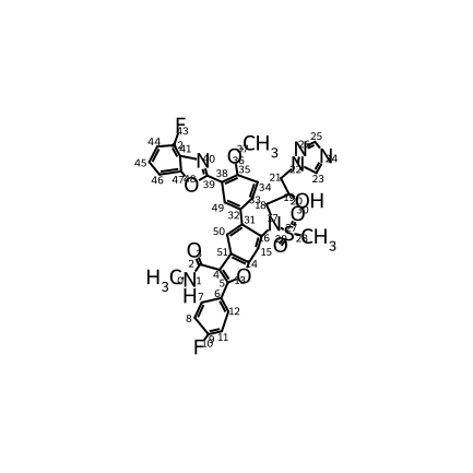 CNC(=O)c1c(-c2ccc(F)cc2)oc2cc(N(CC(O)Cn3cncn3)S(C)(=O)=O)c(-c3ccc(OC)c(-c4nc5c(F)cccc5o4)c3)cc12